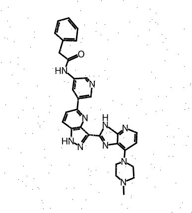 CN1CCN(c2ccnc3[nH]c(-c4n[nH]c5ccc(-c6cncc(NC(=O)Cc7ccccc7)c6)nc45)nc23)CC1